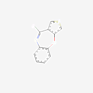 ClC1=Nc2ccccc2Oc2cscc21